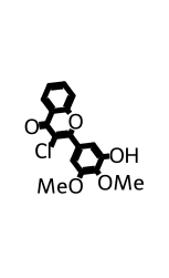 COc1cc(-c2oc3ccccc3c(=O)c2Cl)cc(O)c1OC